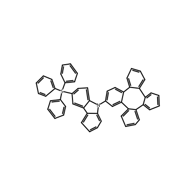 c1ccc(S(c2ccccc2)(c2ccccc2)c2ccc3c(c2)c2ccccc2n3-c2ccc3c(c2)-c2ccccc2-c2ccccc2-c2ccccc2-3)cc1